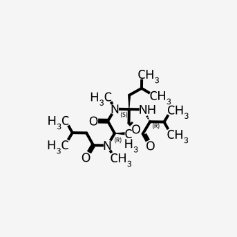 CC(C)CC(=O)N(C)[C@H](C)C(=O)N(C)[C@](C=O)(CC(C)C)N[C@@H](C=O)C(C)C